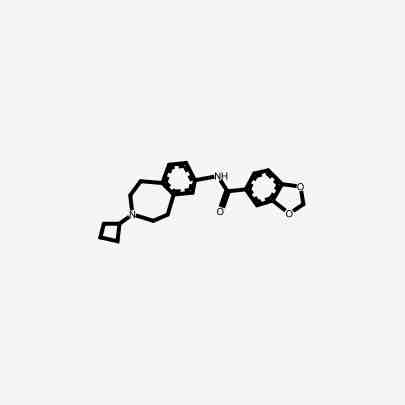 O=C(Nc1ccc2c(c1)CCN(C1CCC1)CC2)c1ccc2c(c1)OCO2